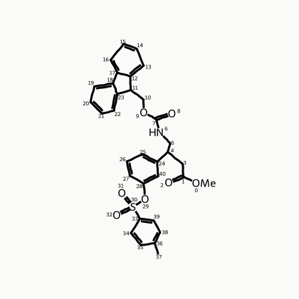 COC(=O)CC(CNC(=O)OCC1c2ccccc2-c2ccccc21)c1cccc(OS(=O)(=O)c2ccc(C)cc2)c1